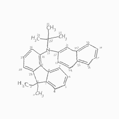 CC1(C)c2ccccc2-c2c(N(c3ccc4ccccc4c3)C(C)(C)C)cccc21